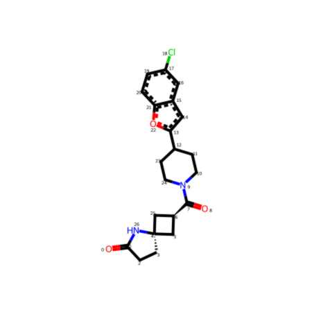 O=C1CC[C@]2(C[C@H](C(=O)N3CCC(c4cc5cc(Cl)ccc5o4)CC3)C2)N1